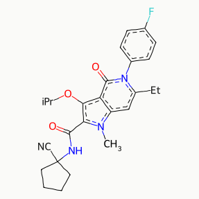 CCc1cc2c(c(OC(C)C)c(C(=O)NC3(C#N)CCCC3)n2C)c(=O)n1-c1ccc(F)cc1